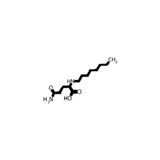 CCCCCCCCNC(CCC(N)=O)C(=O)O